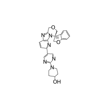 OC1CCN(c2ncc(-c3ccc4nc5n(c4n3)[C@@]3(COC5)COc4ccccc43)cn2)CC1